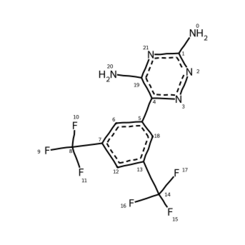 Nc1nnc(-c2cc(C(F)(F)F)cc(C(F)(F)F)c2)c(N)n1